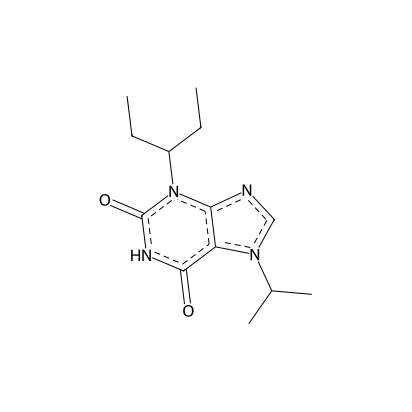 CCC(CC)n1c(=O)[nH]c(=O)c2c1ncn2C(C)C